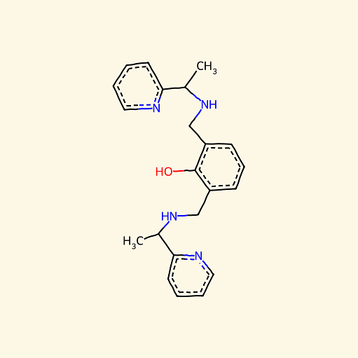 CC(NCc1cccc(CNC(C)c2ccccn2)c1O)c1ccccn1